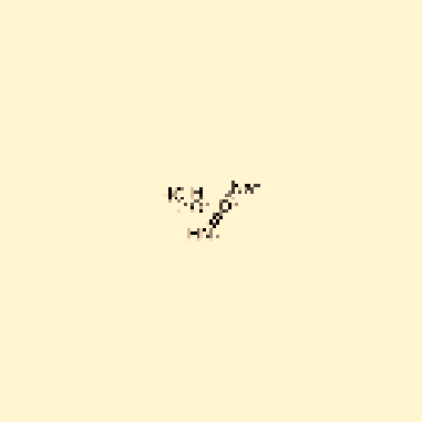 N=O.O.[Na+].[OH-]